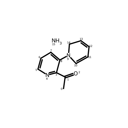 CC(=O)c1ncccc1N1C=CC=CC1.N